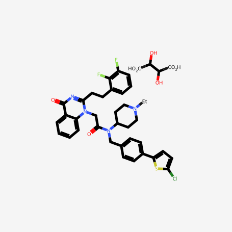 CCN1CCC(N(Cc2ccc(-c3ccc(Cl)s3)cc2)C(=O)Cn2c(CCc3cccc(F)c3F)nc(=O)c3ccccc32)CC1.O=C(O)C(O)C(O)C(=O)O